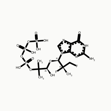 CC(C)(OP(=O)(O)OP(=O)(O)OP(=O)(O)O)[C@H](O)O[C@@H](n1cnc2c(=O)[nH]c(N)nc21)[C@@](C)(F)CF